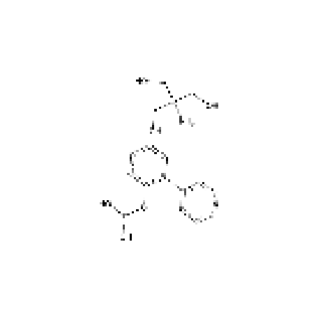 NC(CO)(CO)CO.OP(O)Oc1ccccc1-c1ccccc1